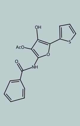 CC(=O)Oc1c(NC(=O)c2ccccc2)oc(-c2cccs2)c1O